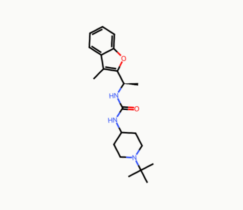 Cc1c([C@@H](C)NC(=O)NC2CCN(C(C)(C)C)CC2)oc2ccccc12